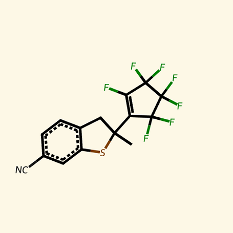 CC1(C2=C(F)C(F)(F)C(F)(F)C2(F)F)Cc2ccc(C#N)cc2S1